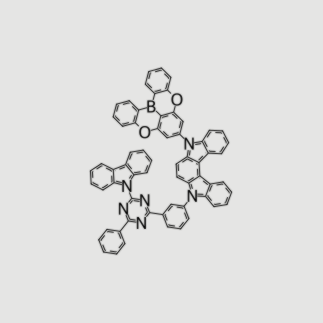 c1ccc(-c2nc(-c3cccc(-n4c5ccccc5c5c6c7ccccc7n(-c7cc8c9c(c7)Oc7ccccc7B9c7ccccc7O8)c6ccc54)c3)nc(-n3c4ccccc4c4ccccc43)n2)cc1